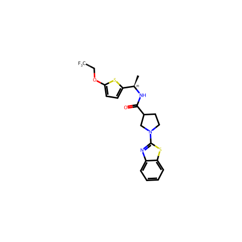 C[C@@H](NC(=O)C1CCN(c2nc3ccccc3s2)C1)c1ccc(OCC(F)(F)F)s1